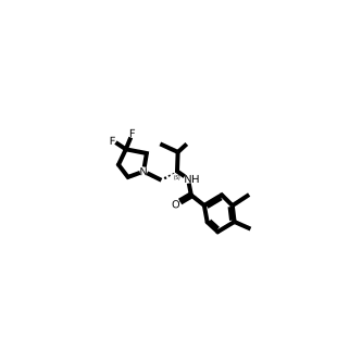 Cc1ccc(C(=O)N[C@H](CN2CCC(F)(F)C2)C(C)C)cc1C